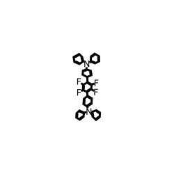 Fc1c(F)c(C2C=CC(N(c3ccccc3)c3ccccc3)=CC2)c(F)c(F)c1-c1ccc(N(c2ccccc2)c2ccccc2)cc1